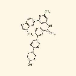 Cc1nc(N[C@@H](C)c2cccc(-c3cnc(N4CCC(O)CC4)nc3)c2)cc(-c2ccc3occ(C)c3c2)n1